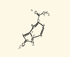 CC(=O)c1ccc2c(c1)=CC(=O)N=2